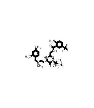 Cc1ccc(CN(C)CC[C@H](NC(=O)CNC(=O)c2cc(C(F)(F)F)ccc2N)C(=O)NC(C)(C)C)c(C)c1